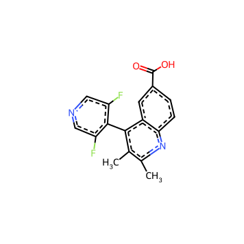 Cc1nc2ccc(C(=O)O)cc2c(-c2c(F)cncc2F)c1C